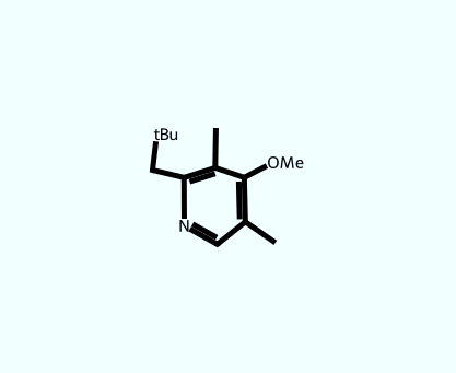 COc1c(C)cnc(CC(C)(C)C)c1C